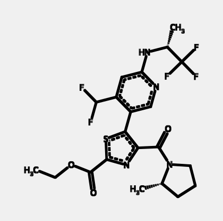 CCOC(=O)c1nc(C(=O)N2CCC[C@@H]2C)c(-c2cnc(N[C@H](C)C(F)(F)F)cc2C(F)F)s1